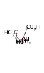 CC(CO)(CO)C(CO)(CCCCCCCC/C=C\CCCCCCCC(=O)O)CCCCCCCCCCCCCCCCCCCCCC(=O)O